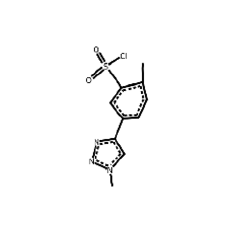 Cc1ccc(-c2cn(C)nn2)cc1S(=O)(=O)Cl